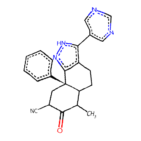 CC1C(=O)C(C#N)C[C@]2(c3ccccc3)c3n[nH]c(-c4cncnc4)c3CCC12